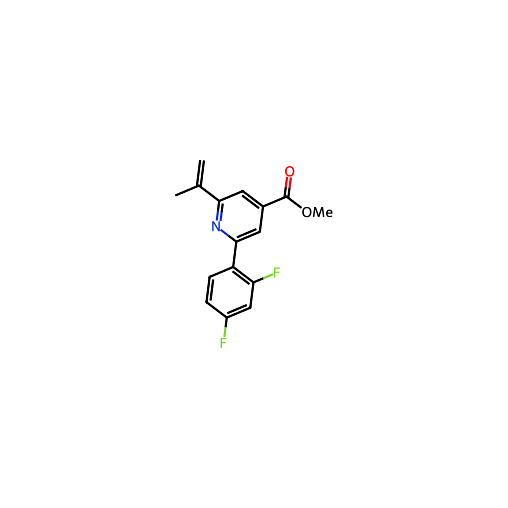 C=C(C)c1cc(C(=O)OC)cc(-c2ccc(F)cc2F)n1